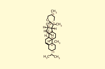 CC(C)[C@H]1CC[C@@]2(C)C(=CC[C@H]3[C@@H]4C[C@@H]5O[C@]6(CC[C@@H](C)CO6)[C@@H](C)[C@@H]5[C@@]4(C)CC[C@@H]32)C1